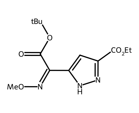 CCOC(=O)c1cc(C(=NOC)C(=O)OC(C)(C)C)[nH]n1